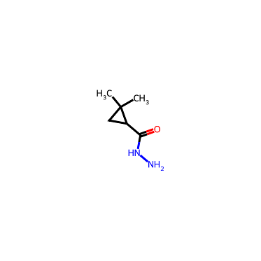 CC1(C)CC1C(=O)NN